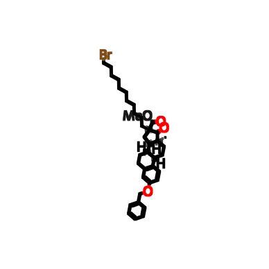 COC(=O)[C@@]1(CCCCCCCCCCCBr)C[C@H]2[C@@H]3CCc4cc(OCc5ccccc5)ccc4[C@H]3CC[C@]2(C)C1=O